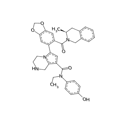 CCN(C(=O)c1cc(-c2cc3c(cc2C(=O)N2Cc4ccccc4C[C@@H]2C)OCO3)n2c1CNCC2)c1ccc(O)cc1